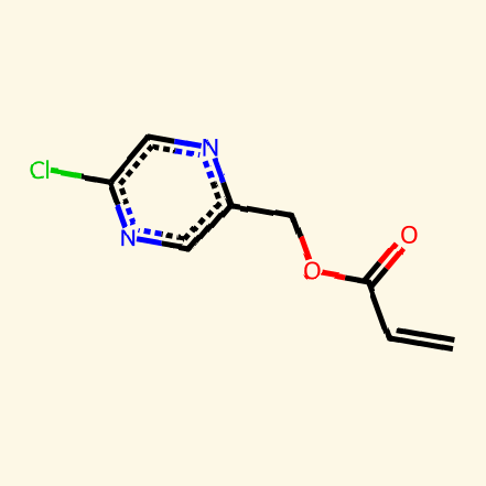 C=CC(=O)OCc1cnc(Cl)cn1